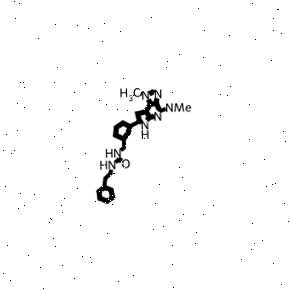 CNc1nc2[nH]c(-c3cccc(CNC(=O)NCCc4ccccc4)c3)cc2c2c1ncn2C